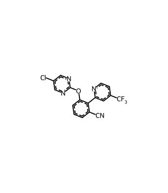 N#Cc1cccc(Oc2ncc(Cl)cn2)c1-c1cc(C(F)(F)F)ccn1